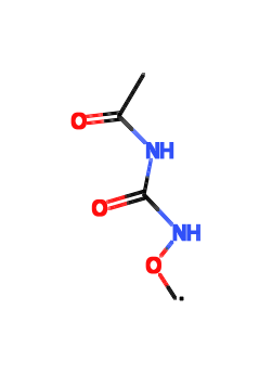 [CH2]ONC(=O)NC(C)=O